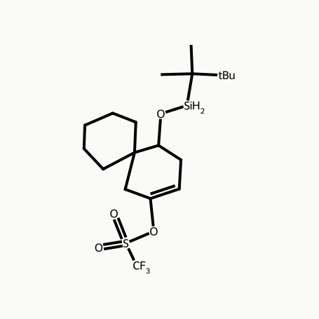 CC(C)(C)C(C)(C)[SiH2]OC1CC=C(OS(=O)(=O)C(F)(F)F)CC12CCCCC2